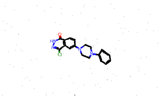 O=c1[nH]nc(Cl)c2cc(N3CCN(c4ccccc4)CC3)ccc12